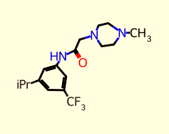 CC(C)c1cc(NC(=O)CN2CCN(C)CC2)cc(C(F)(F)F)c1